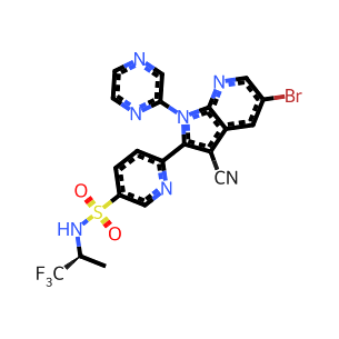 C[C@H](NS(=O)(=O)c1ccc(-c2c(C#N)c3cc(Br)cnc3n2-c2cnccn2)nc1)C(F)(F)F